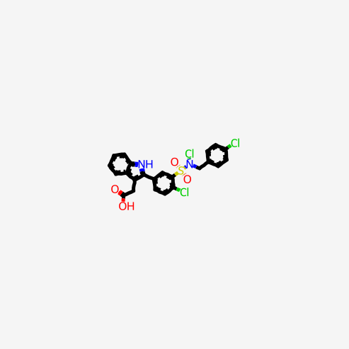 O=C(O)Cc1c(-c2ccc(Cl)c(S(=O)(=O)N(Cl)Cc3ccc(Cl)cc3)c2)[nH]c2ccccc12